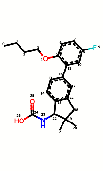 CCCCOc1ccc(F)cc1-c1ccc2c(c1)CC(C)(C)C2NC(=O)O